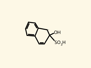 O=S(=O)(O)C1(O)[CH]c2ccccc2C=C1